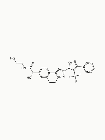 O=C(NCCO)[C@@H](O)c1ccc2c(c1)CCc1nc(-c3onc(-c4ccccc4)c3C(F)(F)F)sc1-2